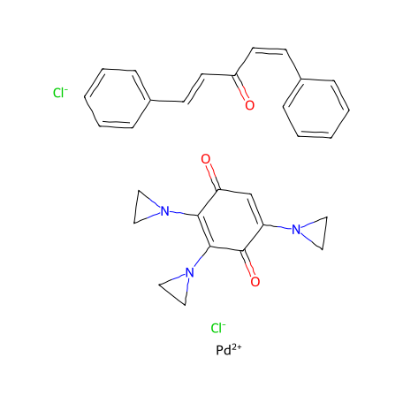 O=C(/C=C\c1ccccc1)/C=C/c1ccccc1.O=C1C=C(N2CC2)C(=O)C(N2CC2)=C1N1CC1.[Cl-].[Cl-].[Pd+2]